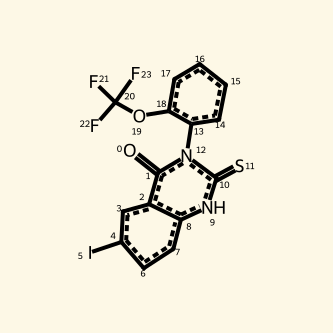 O=c1c2cc(I)ccc2[nH]c(=S)n1-c1ccccc1OC(F)(F)F